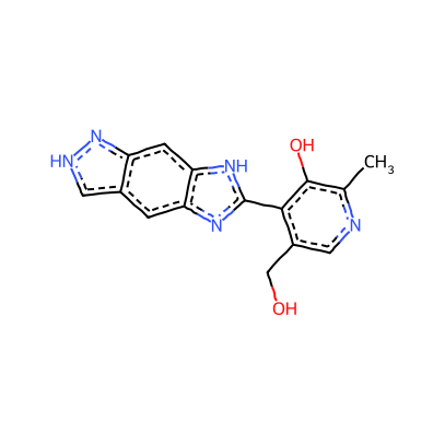 Cc1ncc(CO)c(-c2nc3cc4c[nH]nc4cc3[nH]2)c1O